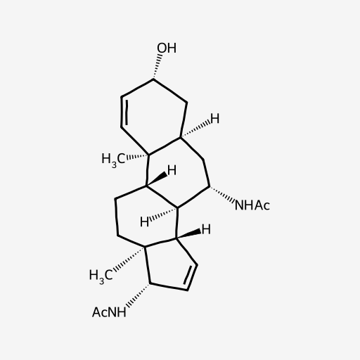 CC(=O)N[C@H]1C[C@@H]2C[C@@H](O)C=C[C@]2(C)[C@H]2CC[C@]3(C)[C@@H](NC(C)=O)C=C[C@H]3[C@H]12